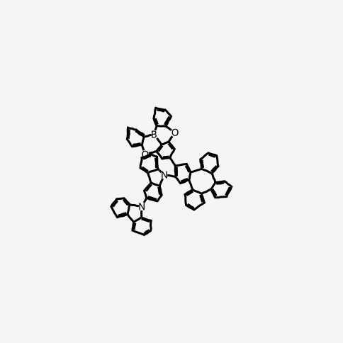 c1ccc2c(c1)Oc1cc(-c3cc4c(cc3-n3c5ccccc5c5cc(-n6c7ccccc7c7ccccc76)ccc53)-c3ccccc3-c3ccccc3-c3ccccc3-4)cc3c1B2c1ccccc1O3